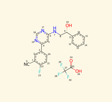 N#Cc1cc(-c2cc(NC[C@H](O)c3ccccc3)ncn2)ccc1F.O=C(O)C(F)(F)F